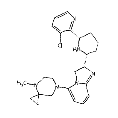 CN1CCN(C2=CC=CC3=NC([C@H]4CCC[C@@H](c5ncccc5Cl)N4)CN23)CC12CC2